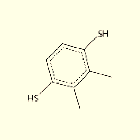 Cc1c(S)ccc(S)c1C